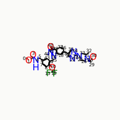 COC(=O)NCc1ccc(OC(F)F)c(Cn2c3cc(-c4cnc(N5CCN(C(C)=O)C(C)C5)nc4)ccc3c(=O)n2C)c1